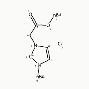 CCCCOC(=O)CN1[C+]N(CCCC)C=C1.[Cl-]